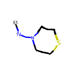 CC[N]N1CCSCC1